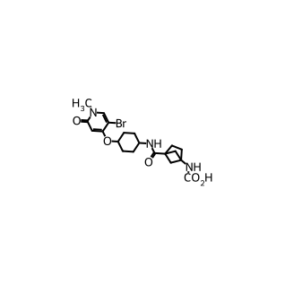 Cn1cc(Br)c(OC2CCC(NC(=O)C34CCC(NC(=O)O)(C3)C4)CC2)cc1=O